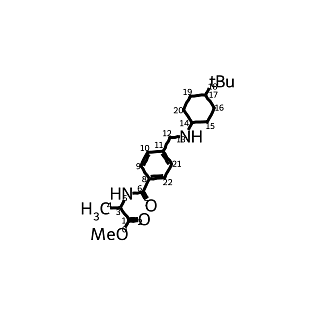 COC(=O)C(C)NC(=O)c1ccc(CNC2CCC(C(C)(C)C)CC2)cc1